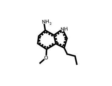 CCCc1c[nH]c2c(N)ccc(OC)c12